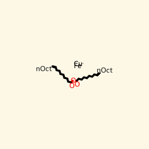 CCCCCCCC/C=C\CCCCCCCC(=O)OC(=O)CCCCCCC/C=C\CCCCCCCC.[Cu].[Fe]